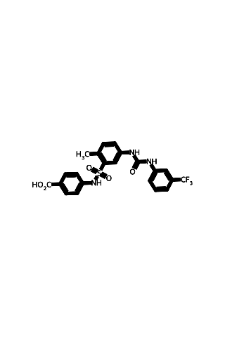 Cc1ccc(NC(=O)Nc2cccc(C(F)(F)F)c2)cc1S(=O)(=O)Nc1ccc(C(=O)O)cc1